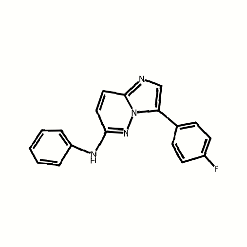 Fc1ccc(-c2cnc3ccc(Nc4ccccc4)nn23)cc1